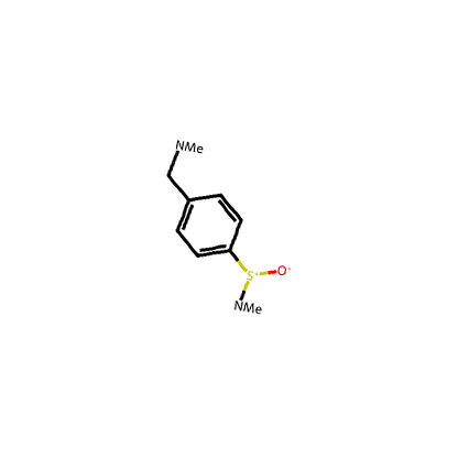 CNCc1ccc([S+]([O-])NC)cc1